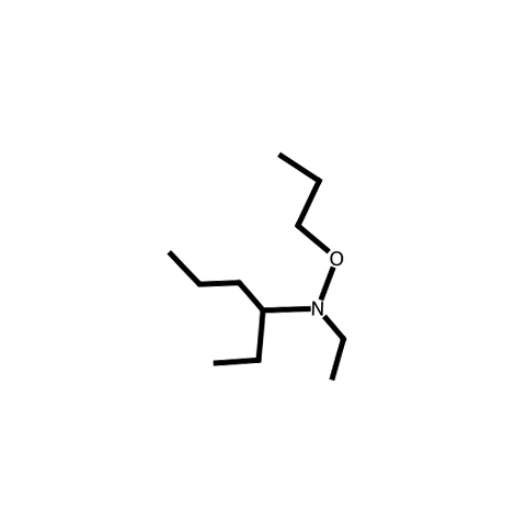 CCCON(CC)C(CC)CCC